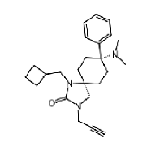 C#CCN1C[C@]2(CC[C@@](c3ccccc3)(N(C)C)CC2)N(CC2CCC2)C1=O